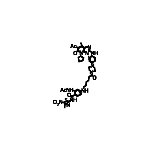 CC(=O)Nc1cc(NCCCCCC(=O)N2CCN(c3ccc(Nc4ncc5c(C)c(C(C)=O)c(=O)n(C6CCCC6)c5n4)nc3)CC2)ccc1C(=O)Nc1nc(C)c([N+](=O)[O-])s1